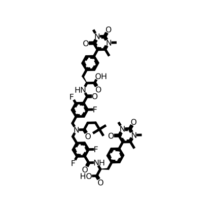 Cc1c(-c2ccc(C[C@H](NC(=O)c3c(F)cc(CN(Cc4cc(F)c(C(=O)N[C@@H](Cc5ccc(-c6c(C)n(C)c(=O)n(C)c6=O)cc5)C(=O)O)c(F)c4)C(=O)CCC(C)(C)C)cc3F)C(=O)O)cc2)c(=O)n(C)c(=O)n1C